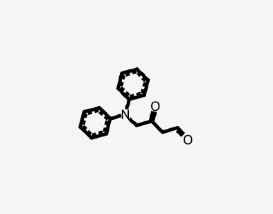 O=CCC(=O)CN(c1ccccc1)c1ccccc1